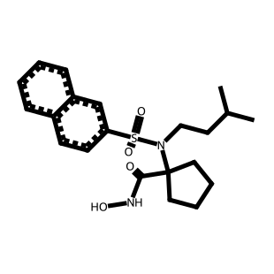 CC(C)CCN(C1(C(=O)NO)CCCC1)S(=O)(=O)c1ccc2ccccc2c1